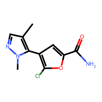 Cc1cnn(C)c1-c1cc(C(N)=O)oc1Cl